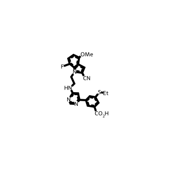 CCSc1cc(C(=O)O)cc(-c2cc(NCCn3c(C#N)cc4c(OC)ccc(F)c43)ncn2)c1